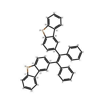 c1ccc(C(=C(c2ccccc2)c2ccc3sc4ccccc4c3c2)c2ccc3sc4ccccc4c3c2)cc1